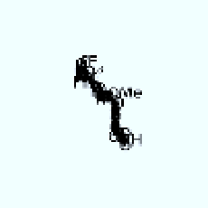 COc1cc2c(Oc3ccc(NC(=O)c4c(C)n(C)c5ccc(OC(F)(F)F)cc5c4=O)cc3F)ncnc2cc1OCC(=O)N1CC2(CCN(c3ccc4c(c3)CN(C3CCC(=O)NC3=O)C4=O)CC2)C1